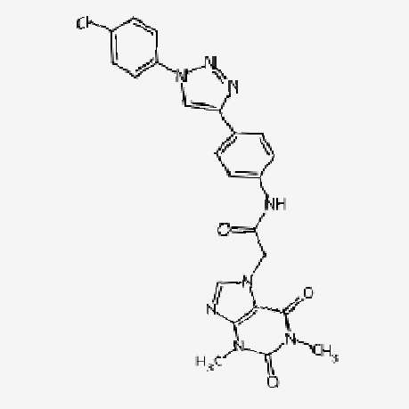 Cn1c(=O)c2c(ncn2CC(=O)Nc2ccc(-c3cn(-c4ccc(Cl)cc4)nn3)cc2)n(C)c1=O